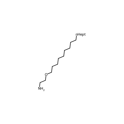 CCCCCCCCCCCCCCCCOCCN